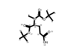 CN(C(=O)OC(C)(C)C)[C@@H](CCC(=O)O)C(=O)OC(C)(C)C